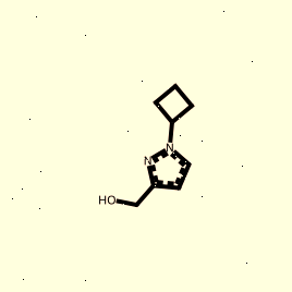 OCc1ccn(C2CCC2)n1